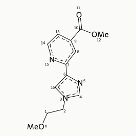 COCCn1cnc(-c2cc(C(=O)OC)ccn2)c1